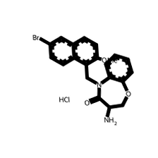 COc1ccc2cc(Br)ccc2c1CN1C(=O)C(N)COc2ccccc21.Cl